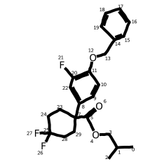 CC(C)COC(=O)C1(c2ccc(OCc3ccccc3)c(F)c2)CCC(F)(F)CC1